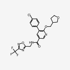 O=C(NCc1nc(C(F)(F)F)no1)c1cnc(OCC2CCOC2)c(-c2ccc(Cl)cc2)c1